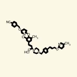 Cc1ccc(OCC=Cc2ccc(CN3CCN(C(=O)C=Cc4cc(C)c(Oc5ccc(OCc6ccc(C#N)cc6)cn5)c(Cl)c4)CC3)cc2)nc1.Cl